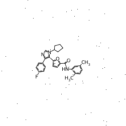 Cc1ccc(C)c(NC(=O)c2ccc(-c3c(-c4ccc(F)cc4)ncn3C3CCCC3)o2)c1